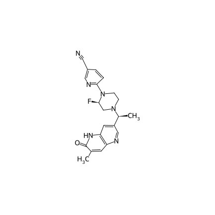 Cc1cc2ncc([C@H](C)N3CCN(c4ccc(C#N)cn4)[C@H](F)C3)cc2[nH]c1=O